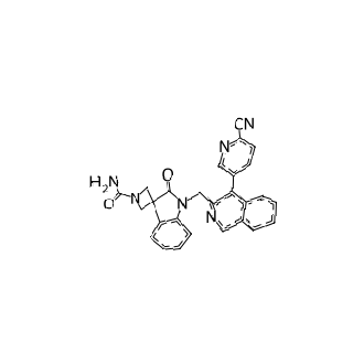 N#Cc1ccc(-c2c(CN3C(=O)C4(CN(C(N)=O)C4)c4ccccc43)ncc3ccccc23)cn1